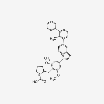 COc1cc(-c2cnc3cc(-c4cccc(-c5ccccc5)c4C)ccn23)cc(OC)c1CN1CCC[C@H]1C(=O)O